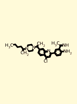 C=C(CCCC)N1CCN(C(=C)c2ccc3c(Cl)cc(-c4ccc(N)c(C(C)=N)c4)nc3c2)CC1